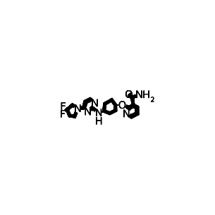 NC(=O)c1cccnc1O[C@H]1CC[C@H](Nc2nccc(N3CCC(F)(F)C3)n2)CC1